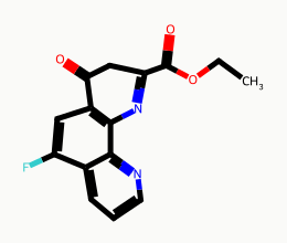 CCOC(=O)C1=Nc2c(cc(F)c3cccnc23)C(=O)C1